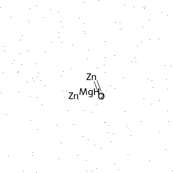 [MgH2].[O]=[Zn].[Zn]